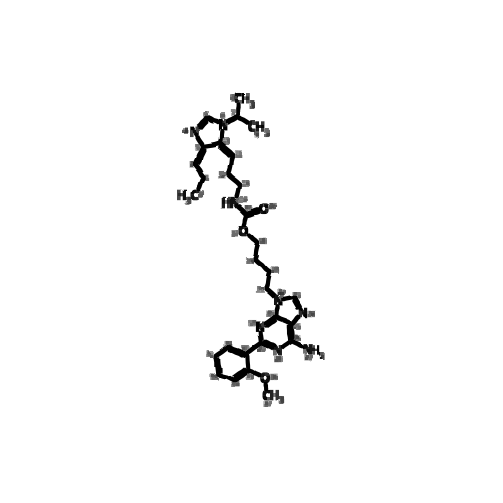 CC/C=c1/ncn(C(C)C)/c1=C/CCNC(=O)OCCCCn1cnc2c(N)nc(-c3ccccc3OC)nc21